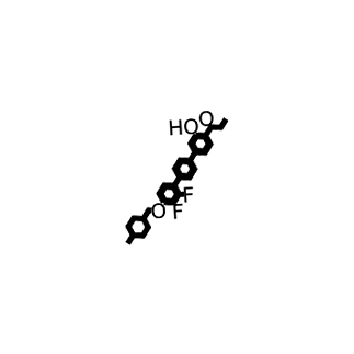 CCC(=O)c1ccc(-c2ccc(-c3ccc(OCC4CCC(C)CC4)c(F)c3F)cc2)cc1O